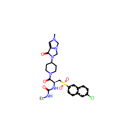 CCNC(=O)N[C@H](CS(=O)(=O)c1ccc2cc(Cl)ccc2c1)C(=O)N1CCC(N2CN3CN(C)C=C3C2=O)CC1